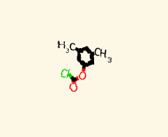 Cc1cc(C)cc(OC(=O)Cl)c1